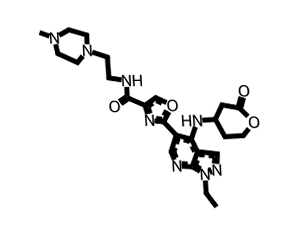 CCn1ncc2c(NC3CCOC(=O)C3)c(-c3nc(C(=O)NCCN4CCN(C)CC4)co3)cnc21